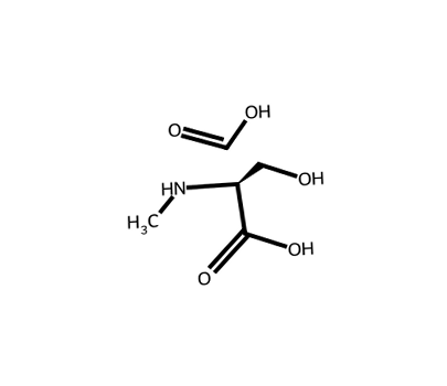 CN[C@@H](CO)C(=O)O.O=CO